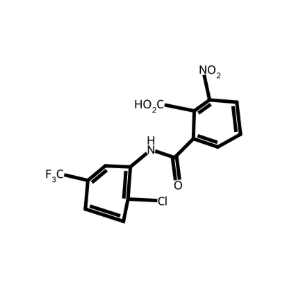 O=C(Nc1cc(C(F)(F)F)ccc1Cl)c1cccc([N+](=O)[O-])c1C(=O)O